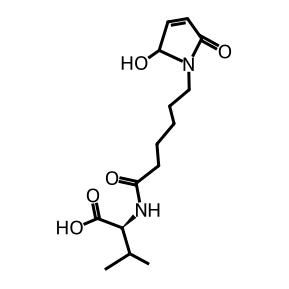 CC(C)[C@H](NC(=O)CCCCCN1C(=O)C=CC1O)C(=O)O